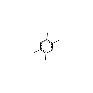 Cc1[c]c(C)c(C)cc1C